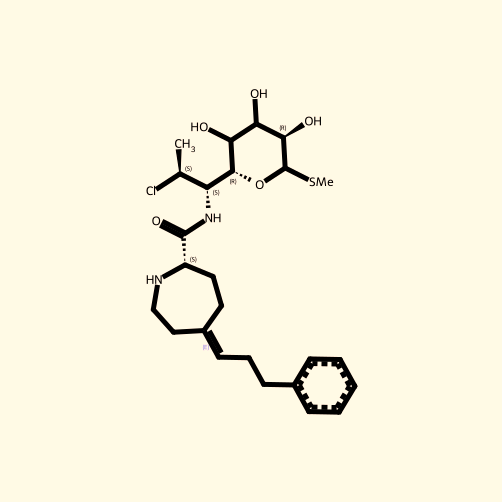 CSC1O[C@H]([C@H](NC(=O)[C@@H]2CC/C(=C\CCc3ccccc3)CCN2)[C@H](C)Cl)C(O)C(O)[C@H]1O